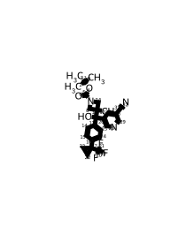 CC(C)(C)OC(=O)N1CC(C)(C(O)(c2ccc(C3(C(F)(F)F)CC3)cc2)c2cncc(C#N)c2)C1